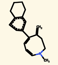 C=C1CCN(C)/C=C\C=C/1c1ccc2c(c1)CCCC2